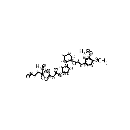 COc1ccc(CCO[C@@H]2CCCC[C@H]2N2CC[C@@H](OC(=O)CC(=O)ON(C)C(=O)CCC=O)C2)cc1OC